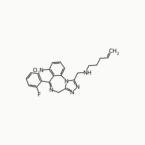 C=CCCCNCc1nnc2n1-c1cccc([N+](=O)[O-])c1C(c1ccccc1F)=NC2